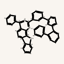 c1ccc(-c2ccccc2-c2cccc(-c3cccc(-c4nc(-c5ccccc5)c5ccc6c7ccccc7sc6c5n4)c3)c2)cc1